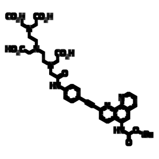 CC(C)(C)OC(=O)Nc1cc2cccnc2c2nc(C#Cc3ccc(NC(=O)CN(CCN(CCN(CC(=O)O)CC(=O)O)CC(=O)O)CC(=O)O)cc3)ccc12